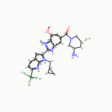 COc1cc(C(=O)N2C[C@H](N)C[C@@H](F)C2)cc2nc(-c3cc4ccc(C(F)(F)F)nc4n3CC3CC3)n(C)c12